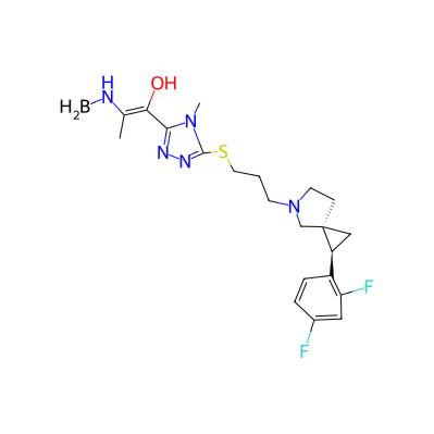 BN/C(C)=C(\O)c1nnc(SCCCN2CC[C@@]3(C[C@H]3c3ccc(F)cc3F)C2)n1C